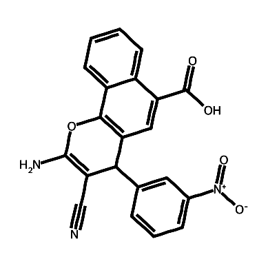 N#CC1=C(N)Oc2c(cc(C(=O)O)c3ccccc23)C1c1cccc([N+](=O)[O-])c1